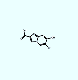 O=C(O)c1cn2cc(Br)c(O)nc2n1